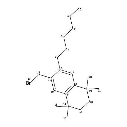 CCCCCCc1cc2c(cc1CBr)C(C)(C)CCC2(C)C